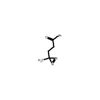 CC(C)C(=O)CCC1(C)N=N1